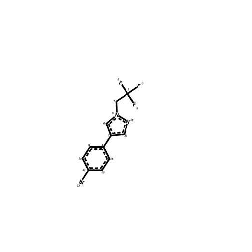 FC(F)(F)Cn1cc(-c2ccc(Br)cc2)cn1